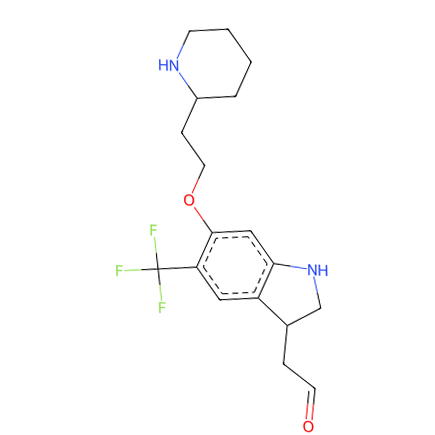 O=CCC1CNc2cc(OCCC3CCCCN3)c(C(F)(F)F)cc21